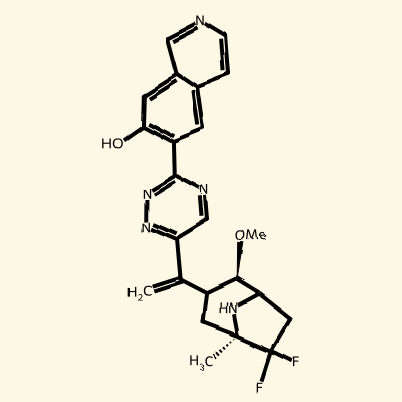 C=C(c1cnc(-c2cc3ccncc3cc2O)nn1)C1C[C@@]2(C)NC(CC2(F)F)[C@@H]1OC